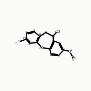 CCOc1ccc2c(c1)C(Cl)Cc1ccc(F)cc1S2